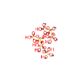 O=P(O)(O)OS(=O)(=O)OP(=O)(O)O.O=P(O)(O)OS(=O)(=O)OP(=O)(O)O.O=S(=O)(O)O